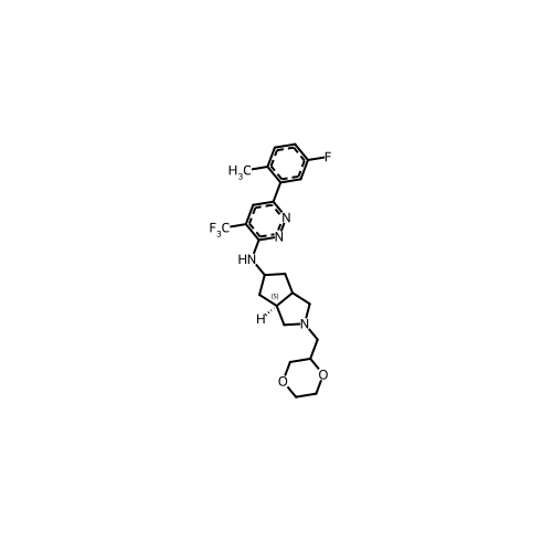 Cc1ccc(F)cc1-c1cc(C(F)(F)F)c(NC2CC3CN(CC4COCCO4)C[C@H]3C2)nn1